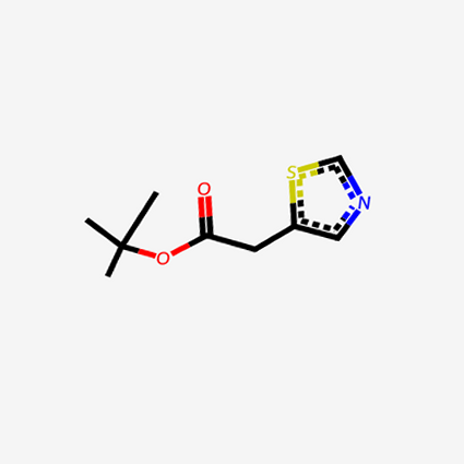 CC(C)(C)OC(=O)Cc1cncs1